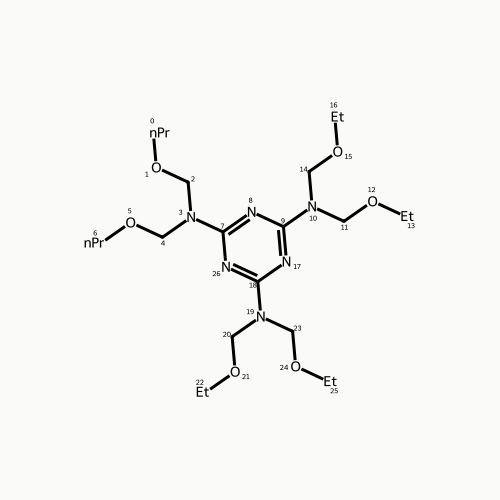 CCCOCN(COCCC)c1nc(N(COCC)COCC)nc(N(COCC)COCC)n1